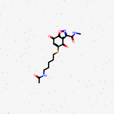 CNC(=O)c1noc2c1C(=O)C(SCCCCCNC(C)=O)=CC2=O